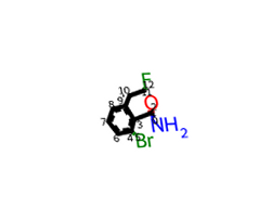 NC(=O)c1c(Br)cccc1[CH]CF